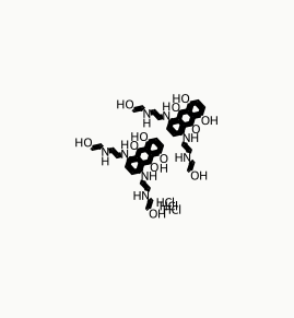 Cl.Cl.Cl.O=C1c2c(O)ccc(O)c2C(=O)c2c(NCCNCCO)ccc(NCCNCCO)c21.O=C1c2c(O)ccc(O)c2C(=O)c2c(NCCNCCO)ccc(NCCNCCO)c21